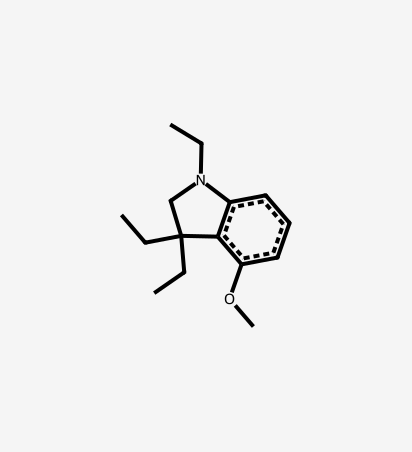 CCN1CC(CC)(CC)c2c(OC)cccc21